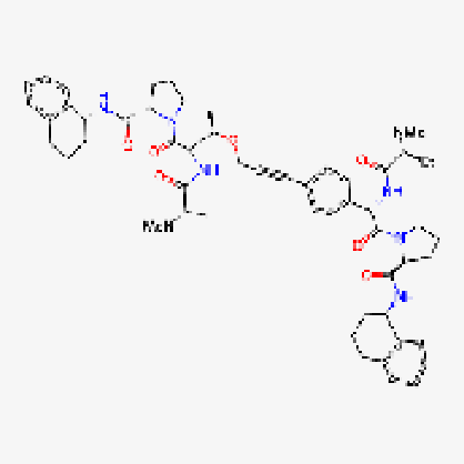 CC[C@H](NC)C(=O)N[C@H](C(=O)N1CCC[C@H]1C(=O)N[C@@H]1CCCc2ccccc21)c1ccc(C#CCO[C@H](C)[C@H](NC(=O)[C@H](C)NC)C(=O)N2CCC[C@H]2C(=O)N[C@@H]2CCCc3ccccc32)cc1